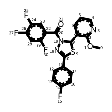 COc1ncccc1C1SC(c2ccc(F)cc2)=NN1C(=O)c1cc(F)c(F)cc1F